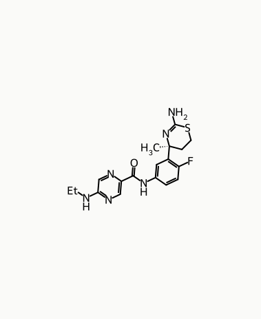 CCNc1cnc(C(=O)Nc2ccc(F)c([C@]3(C)CCSC(N)=N3)c2)cn1